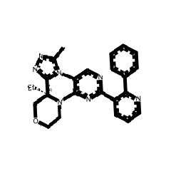 CC[C@@]12COCCN1c1nc(-c3cccnc3-c3ccccc3)ncc1-n1c(C)nnc12